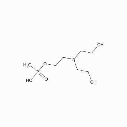 CP(=O)(O)OCCN(CCO)CCO